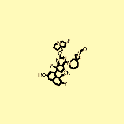 C#Cc1c(F)ccc2cc(O)cc(-c3ccc4c(N5CCCCC6(CN(C=O)C6)C5)nc(OC[C@@]56CCCN5C[C@H](F)C6)nc4c3F)c12